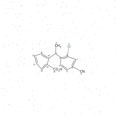 CC(c1ccc(C#N)cc1Cl)c1ccccc1C(=O)O